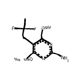 COc1nc(N)nc(OC)c1CC(C)(F)F.[Na]